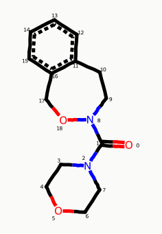 O=C(N1CCOCC1)N1CCc2ccccc2CO1